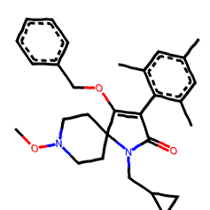 CON1CCC2(CC1)C(OCc1ccccc1)=C(c1c(C)cc(C)cc1C)C(=O)N2CC1CC1